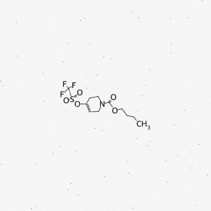 CCCCOC(=O)N1CC=C(OS(=O)(=O)C(F)(F)F)CC1